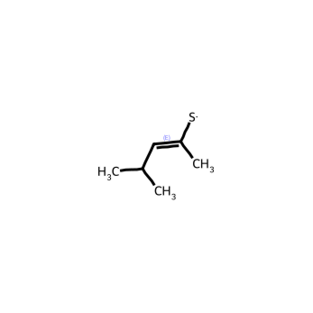 C/C([S])=C\C(C)C